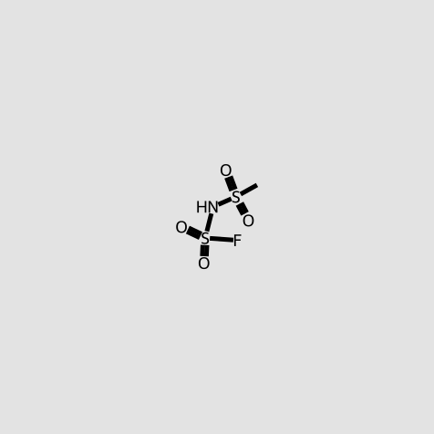 CS(=O)(=O)NS(=O)(=O)F